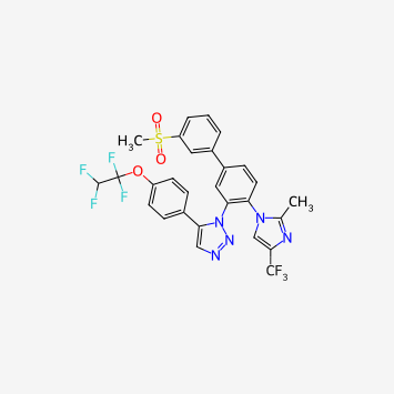 Cc1nc(C(F)(F)F)cn1-c1ccc(-c2cccc(S(C)(=O)=O)c2)cc1-n1nncc1-c1ccc(OC(F)(F)C(F)F)cc1